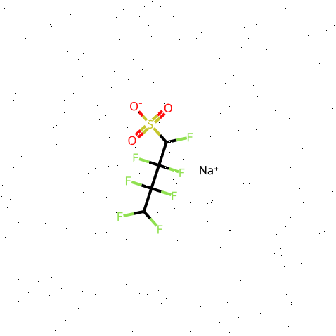 O=S(=O)([O-])C(F)C(F)(F)C(F)(F)C(F)F.[Na+]